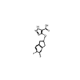 O=C(O)c1[nH]nnc1OC1Cc2cc(F)c(F)cc2C1